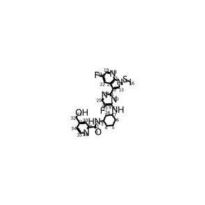 O=C(NC1CCCC(Nc2nc(-c3cn(SI)c4ncc(F)cc34)ncc2F)C1)c1cc(CO)ccn1